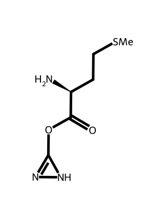 CSCC[C@H](N)C(=O)OC1=NN1